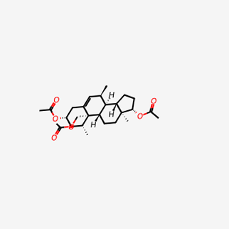 CC(=O)OC[C@]12C(=C[C@@H](C)[C@H]3[C@@H]4CC[C@H](OC(C)=O)[C@@]4(C)CC[C@@H]31)C[C@@H](OC(C)=O)C[C@H]2C